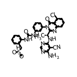 C[C@H](Nc1ncnc(N)c1C#N)c1nc2cccc(Cl)c2c(=O)n1-c1cccc(NC(=O)Nc2ccccc2C[SH](=O)=O)c1